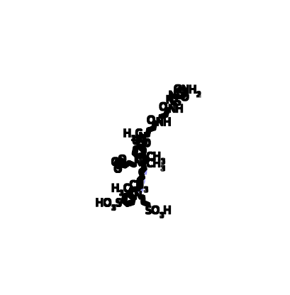 CN(CCCC(=O)NCCC(=O)Nc1nnc(S(N)(=O)=O)s1)S(=O)(=O)c1ccc2c(c1)C(C)(C)C(/C=C/C=C/C=C1/N(CCCS(=O)(=O)O)c3ccc(S(=O)(=O)O)cc3C1(C)C)=[N+]2CCCS(=O)(=O)[O-]